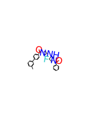 Cc1cccc(-c2ccc(C(=O)N3CC(N[C@@H]4CN(C(=O)c5ccccc5)CC4F)C3)cc2)c1